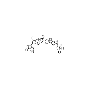 COc1cc(-c2cn(C)c(=O)c3cnccc23)cc(Cl)c1CN1CCC(C2CCN(c3ccc(NC4CCC(=O)NC4=O)cc3Cl)CC2)C(F)(F)C1